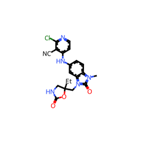 CCC1(Cn2c(=O)n(C)c3ccc(Nc4ccnc(Cl)c4C#N)cc32)CNC(=O)O1